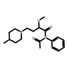 COC(CCN1CCC(C)CC1)C(=O)N(C(C)=O)c1ccccc1